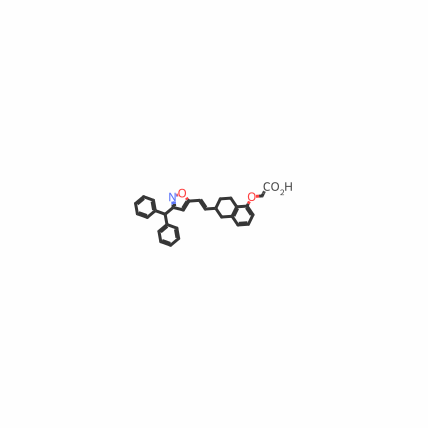 O=C(O)COc1cccc2c1CCC(/C=C/c1cc(C(c3ccccc3)c3ccccc3)no1)C2